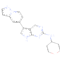 c1cc2cc(-c3c[nH]c4nc(NC5CCOCC5)ncc34)ccn2n1